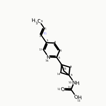 C/C=C/c1ccc(C23CC(NC(=O)O)(C2)C3)nc1